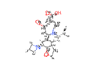 CC(C)[C@@H]1Cc2c(cc(N3CCC3)c3c2CCO3)-c2cc(=O)c(C(=O)O)cn21